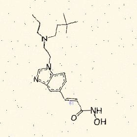 CCCN(CCn1cnc2cc(/C=C/C(=O)NO)ccc21)CCC(C)(C)C